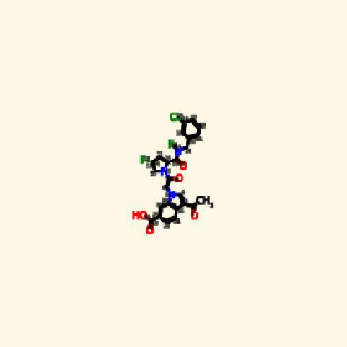 CC(=O)c1cn(CC(=O)N2C[C@H](F)C[C@H]2C(=O)N(F)Cc2cccc(Cl)c2)c2cc(C(=O)O)ccc12